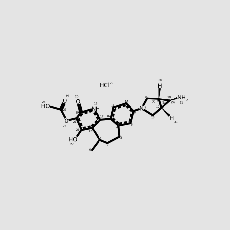 CC1CCc2cc(N3C[C@@H]4[C@@H](N)[C@@H]4C3)ccc2-c2[nH]c(=O)c(OC(=O)O)c(O)c21.Cl